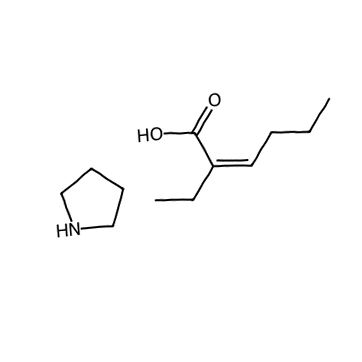 C1CCNC1.CCCC=C(CC)C(=O)O